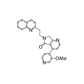 COc1cnccc1-c1ccnc2c1C(=O)N(CCc1ccc3ccccc3n1)C2